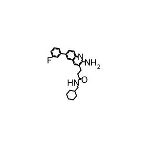 Nc1nc2ccc(-c3cccc(F)c3)cc2cc1CCC(=O)NCC1CCCCC1